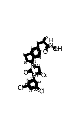 CC(Cc1ccc2c(c1)CCC2N1CC(=O)N(c2cc(Cl)cc(Cl)c2)C1=O)C(=O)NO